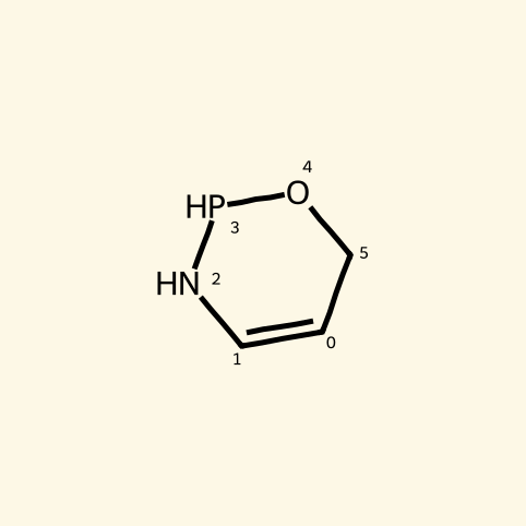 C1=CNPOC1